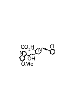 COc1ccc2nccc([C@@H](O)CC[C@@H]3CCN(CC#Cc4ccccc4Cl)C[C@@H]3CC(=O)O)c2c1